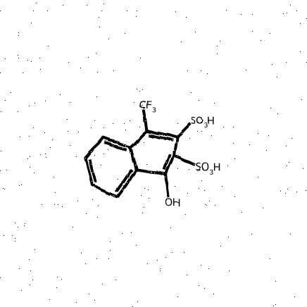 O=S(=O)(O)c1c(S(=O)(=O)O)c(C(F)(F)F)c2ccccc2c1O